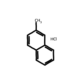 Cc1ccc2ccccc2c1.Cl